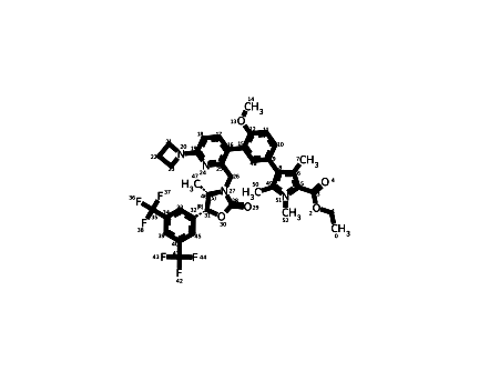 CCOC(=O)c1c(C)c(-c2ccc(OC)c(-c3ccc(N4CCC4)nc3CN3C(=O)O[C@H](c4cc(C(F)(F)F)cc(C(F)(F)F)c4)[C@@H]3C)c2)c(C)n1C